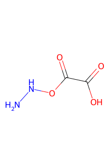 NNOC(=O)C(=O)O